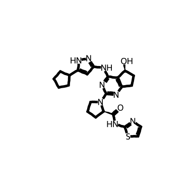 O=C(Nc1nccs1)[C@H]1CCCN1c1nc2c(c(Nc3cc(C4CCCC4)[nH]n3)n1)[C@@H](O)CC2